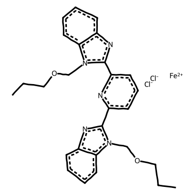 CCCOCn1c(-c2cccc(-c3nc4ccccc4n3COCCC)n2)nc2ccccc21.[Cl-].[Cl-].[Fe+2]